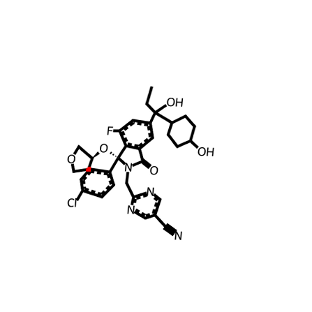 CCC(O)(c1cc(F)c2c(c1)C(=O)N(Cc1ncc(C#N)cn1)[C@@]2(O[C@H]1CCOC1)c1ccc(Cl)cc1)C1CCC(O)CC1